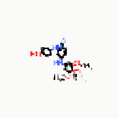 COc1cc(Nc2ccc(C#N)c(NC3CCC(O)CC3)c2)cc(OC)c1OC